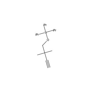 C#CC(C)(C)CO[Si](C(C)C)(C(C)C)C(C)C